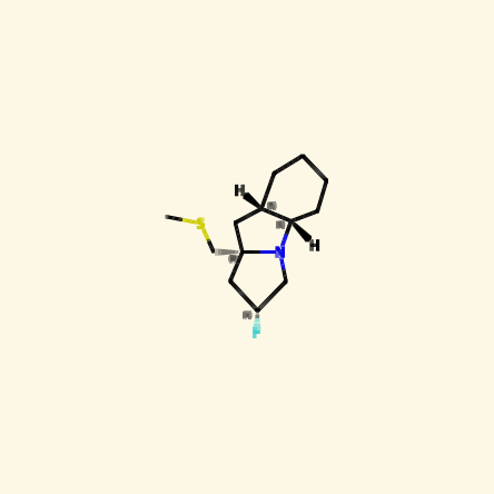 CSC[C@@]12C[C@@H](F)CN1[C@H]1CCCC[C@H]1C2